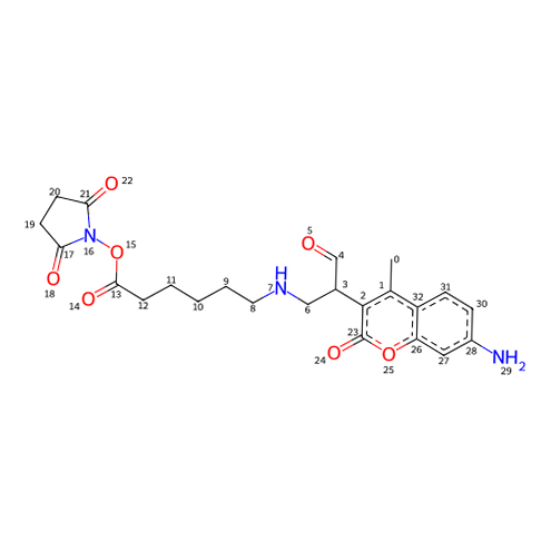 Cc1c(C(C=O)CNCCCCCC(=O)ON2C(=O)CCC2=O)c(=O)oc2cc(N)ccc12